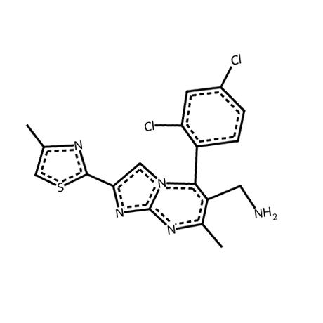 Cc1csc(-c2cn3c(-c4ccc(Cl)cc4Cl)c(CN)c(C)nc3n2)n1